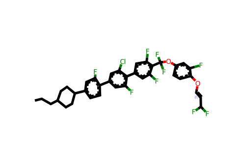 CCCC1CCC(c2ccc(-c3cc(F)c(-c4cc(F)c(C(F)(F)Oc5ccc(O/C=C/C(F)F)c(F)c5)c(F)c4)c(Cl)c3)c(F)c2)CC1